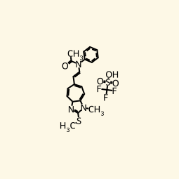 CSC1=NC2C=CC(C=CN(C(C)=O)c3ccccc3)=CC=C2N1C.O=S(=O)(O)C(F)(F)F